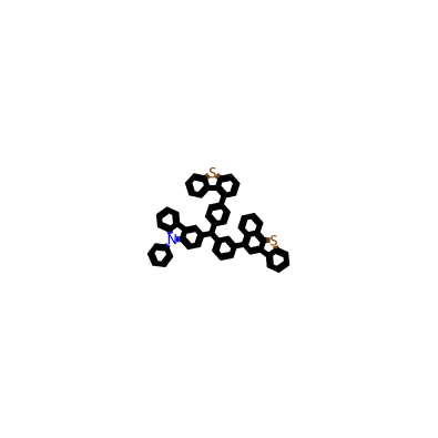 c1ccc(-n2c3ccccc3c3cc(C(c4ccc(-c5cccc6sc7ccccc7c56)cc4)c4cccc(-c5cc6c7ccccc7sc6c6ccccc56)c4)ccc32)cc1